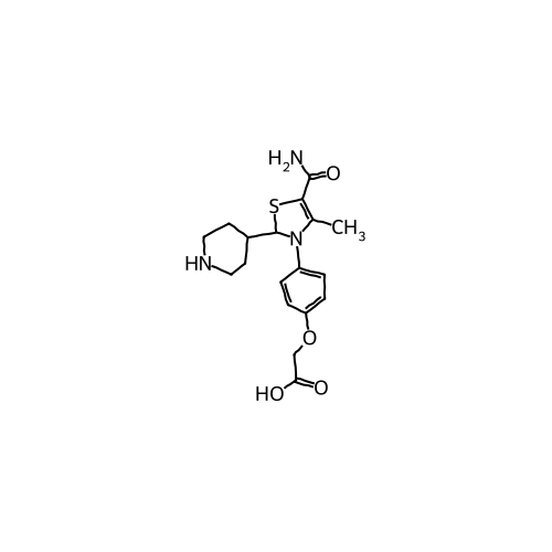 CC1=C(C(N)=O)SC(C2CCNCC2)N1c1ccc(OCC(=O)O)cc1